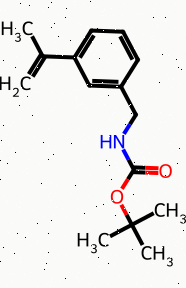 C=C(C)c1cccc(CNC(=O)OC(C)(C)C)c1